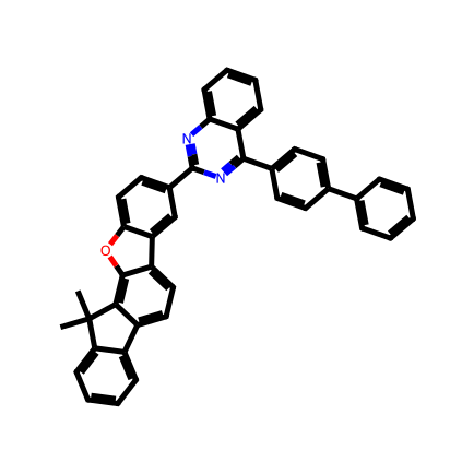 CC1(C)c2ccccc2-c2ccc3c(oc4ccc(-c5nc(-c6ccc(-c7ccccc7)cc6)c6ccccc6n5)cc43)c21